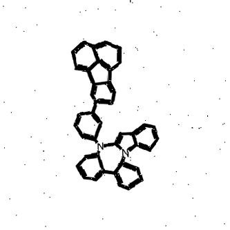 c1cc(-c2ccc3c(c2)-c2cccc4cccc-3c24)cc(N2c3ccccc3-c3ccccc3-n3c2cc2ccccc23)c1